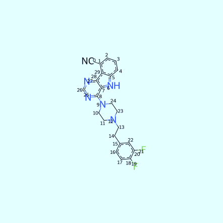 N#Cc1cccc2[nH]c3c(N4CCN(CCc5ccc(F)c(F)c5)CC4)ncnc3c12